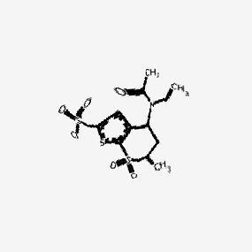 CCN(C(C)=O)C1CC(C)S(=O)(=O)c2sc(S(=O)(=O)Cl)cc21